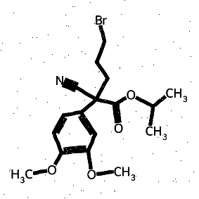 COc1ccc(C(C#N)(CCCBr)C(=O)OC(C)C)cc1OC